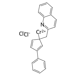 [Cl-].[Cl-].[Cr+2][C]1(Cc2ccc3ccccc3n2)C=CC(c2ccccc2)=C1